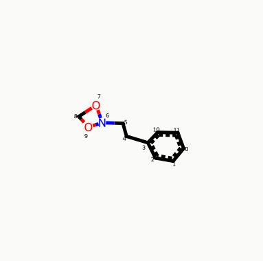 c1ccc(CCN2OCO2)cc1